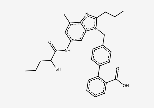 CCCc1nc2c(C)cc(NC(=O)C(S)CCC)cc2n1Cc1ccc(-c2ccccc2C(=O)O)cc1